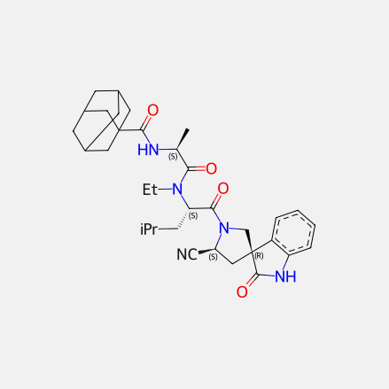 CCN(C(=O)[C@H](C)NC(=O)C12CC3CC(CC(C3)C1)C2)[C@@H](CC(C)C)C(=O)N1C[C@]2(C[C@H]1C#N)C(=O)Nc1ccccc12